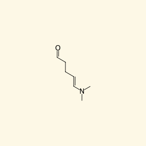 CN(C)C=CCCC=O